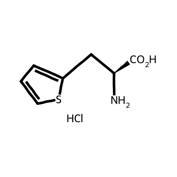 Cl.N[C@@H](Cc1cccs1)C(=O)O